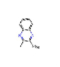 CNc1nc2ccccc2nc1C